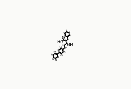 O=C(O)C(Cc1ccccc1)C(O)CCc1ccc(-c2ccccc2)cc1